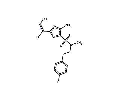 CC(C)/C(=N/O)c1cc(S(=O)(=O)N(C)CCc2ccc(F)cc2)c(N)s1